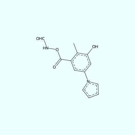 Cc1c(O)cc(-n2cccc2)cc1C(=O)ONC=O